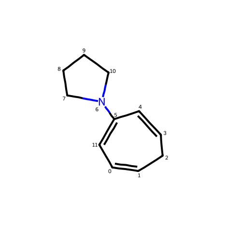 C1=CCC=CC(N2CCCC2)=C1